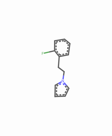 Fc1ccccc1CCn1cccc1